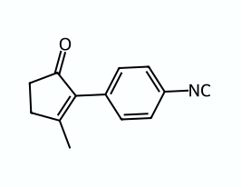 [C-]#[N+]c1ccc(C2=C(C)CCC2=O)cc1